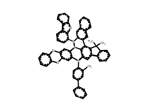 Cc1cc(-c2ccccc2)ccc1N1c2cc3c(cc2B2c4c1cc1c(c4-c4cc5ccccc5cc4N2c2cccc4c2oc2ccccc24)C(C)(C)c2ccccc2-1)Oc1ccccc1O3